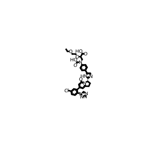 CCOCCOC(CN(C(=O)O)c1ccc(-c2cnc([C@@H]3CCc4cc(-c5cc(Cl)ccc5-n5cnnn5)cc(=O)n43)[nH]2)cc1)C(=O)O